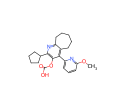 COc1cccc(-c2c3c(nc(C4CCCC4)c2OC(=O)O)CCCCC3)n1